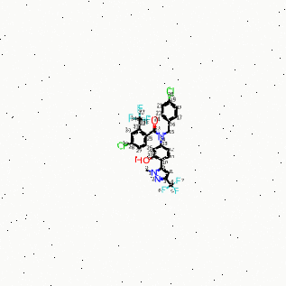 Cn1nc(C(F)(F)F)cc1-c1ccc(N(Cc2ccc(Cl)cc2)C(=O)c2ccc(Cl)cc2C(F)(F)F)cc1O